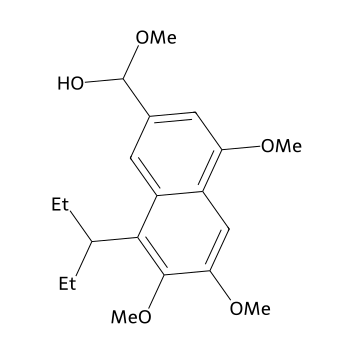 CCC(CC)c1c(OC)c(OC)cc2c(OC)cc(C(O)OC)cc12